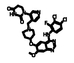 COc1cc2ncnc(Nc3ccc(Cl)c(Cl)c3F)c2cc1OC1CCN(Cc2ccncc2N2CCC(=O)NC2=O)CC1